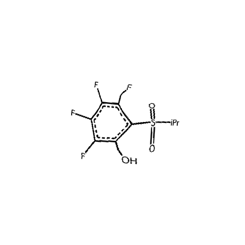 CC(C)S(=O)(=O)c1c(O)c(F)c(F)c(F)c1F